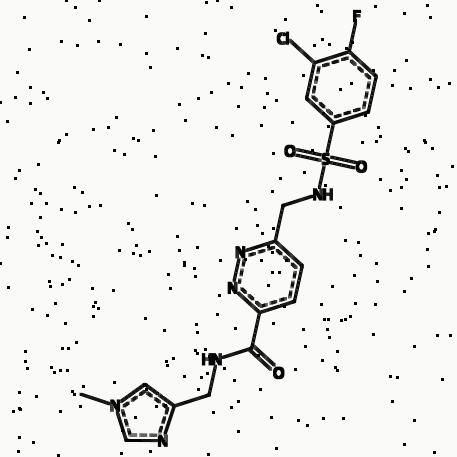 Cn1cnc(CNC(=O)c2ccc(CNS(=O)(=O)c3ccc(F)c(Cl)c3)nn2)c1